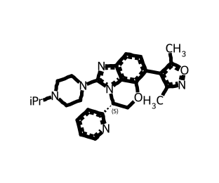 Cc1noc(C)c1-c1ccc2nc(N3CCN(C(C)C)CC3)n3c2c1OC[C@@H]3c1ccccn1